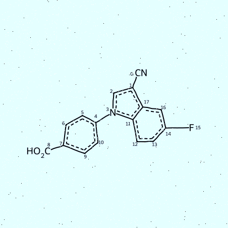 N#Cc1cn(-c2ccc(C(=O)O)cc2)c2ccc(F)cc12